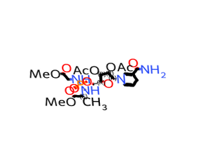 COC(=O)CNP(=O)(N[C@@H](C)C(=O)OC)OC[C@H]1O[C@@H](N2C=CCC(C(N)=O)=C2)[C@H](OC(C)=O)[C@@H]1OC(C)=O